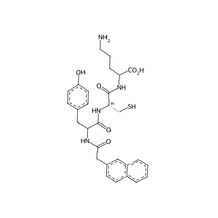 NCCCC(NC(=O)[C@H](CS)NC(=O)C(Cc1ccc(O)cc1)NC(=O)Cc1ccc2ccccc2c1)C(=O)O